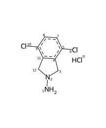 Cl.NN1Cc2c(Cl)ccc(Cl)c2C1